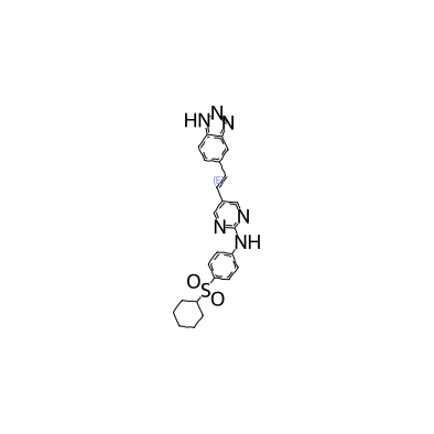 O=S(=O)(c1ccc(Nc2ncc(/C=C/c3ccc4[nH]nnc4c3)cn2)cc1)C1CCCCC1